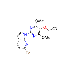 COc1nc(-n2ccc3ccc(Br)nc32)nc(OC)c1OCC#N